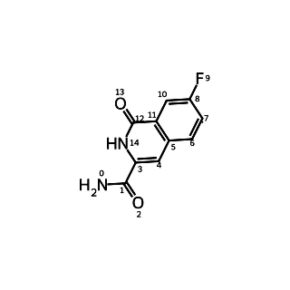 NC(=O)c1cc2c[c]c(F)cc2c(=O)[nH]1